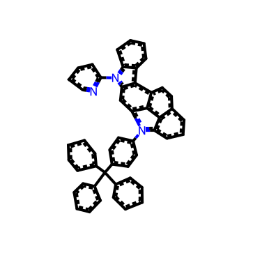 c1ccc(C(c2ccccc2)(c2ccccc2)c2ccc(-n3c4cccc5ccc6c7c8ccccc8n(-c8ccccn8)c7cc3c6c54)cc2)cc1